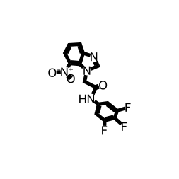 O=C(Cn1cnc2cccc([N+](=O)[O-])c21)Nc1cc(F)c(F)c(F)c1